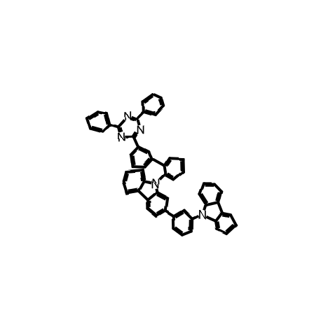 c1ccc(-c2nc(-c3ccccc3)nc(-c3cccc(-c4ccccc4-n4c5ccccc5c5ccc(-c6cccc(-n7c8ccccc8c8ccccc87)c6)cc54)c3)n2)cc1